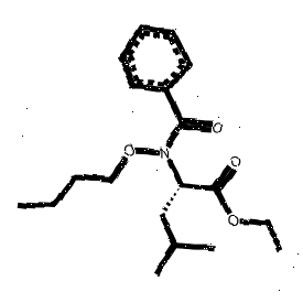 CCCCON(C(=O)c1ccccc1)[C@@H](CC(C)C)C(=O)OCC